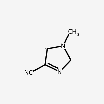 CN1[CH]C(C#N)=NC1